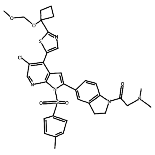 COCOC1(c2ncc(-c3c(Cl)cnc4c3cc(-c3ccc5c(c3)CCN5C(=O)CN(C)C)n4S(=O)(=O)c3ccc(C)cc3)s2)CCC1